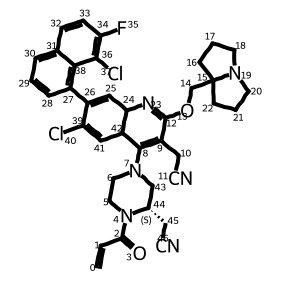 C=CC(=O)N1CCN(C2=C(CC#N)C(OCC34CCCN3CCC4)=NC3C=C(c4cccc5ccc(F)c(Cl)c45)C(Cl)=CC23)C[C@@H]1CC#N